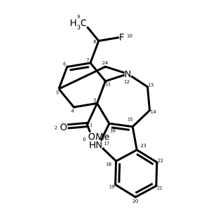 COC(=O)C12CC3C=C(C(C)F)C1N(CCc1c2[nH]c2ccccc12)C3